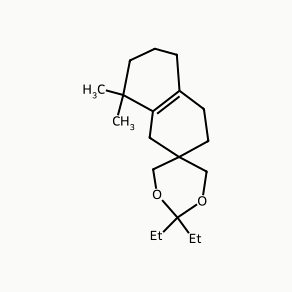 CCC1(CC)OCC2(CCC3=C(C2)C(C)(C)CCC3)CO1